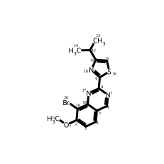 COc1ccc2[c]nc(-c3nc(C(C)C)cs3)nc2c1Br